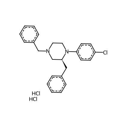 Cl.Cl.Clc1ccc(N2CCN(Cc3ccccc3)C[C@@H]2Cc2ccccc2)cc1